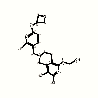 N#CCNc1nc(Cl)c(C#N)c2c1CCN(Cc1ccc(OC3COC3)nc1F)C2